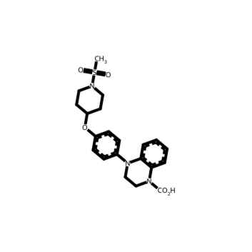 CS(=O)(=O)N1CCC(Oc2ccc(N3CCN(C(=O)O)c4ccccc43)cc2)CC1